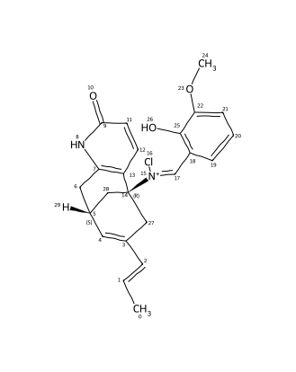 CC=CC1=C[C@@H]2Cc3[nH]c(=O)ccc3[C@]([N+](Cl)=Cc3cccc(OC)c3O)(C1)C2